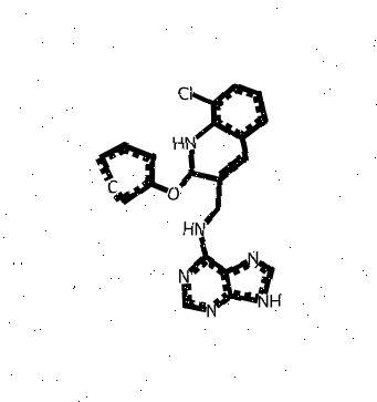 Clc1cccc2c1NC(Oc1ccccc1)C(CNc1ncnc3[nH]cnc13)=C2